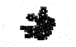 CCC(=O)O[C@H](CC)CC(=O)NC1[C@H](OCC2O[C@@H](O[Si](C)(C)C(C)(C)C)C(N=[N+]=[N-])[C@@H](OC(=O)C[C@H](C)CC)[C@@H]2C)OC(COCc2ccccc2)[C@@H](OP2(=O)OCc3ccccc3CO2)[C@@H]1OC(=O)C[C@@H](CC)OC(=O)CC